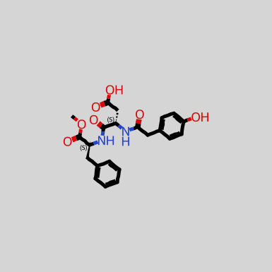 COC(=O)[C@H](Cc1ccccc1)NC(=O)[C@H](CC(=O)O)NC(=O)Cc1ccc(O)cc1